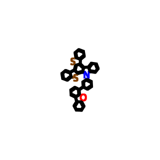 c1cc(-c2cccc3c2oc2ccccc23)cc(-n2c3ccccc3c3c4c5ccccc5sc4c4c5ccccc5sc4c32)c1